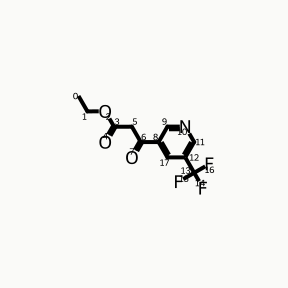 CCOC(=O)CC(=O)c1cncc(C(F)(F)F)c1